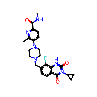 CNC(=O)c1ccc(N2CCN(Cc3ccc4c(=O)n(C5CC5)c(=O)[nH]c4c3F)CC2)c(C)n1